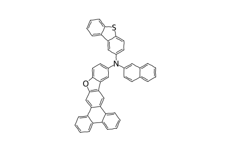 c1ccc2cc(N(c3ccc4oc5cc6c7ccccc7c7ccccc7c6cc5c4c3)c3ccc4sc5ccccc5c4c3)ccc2c1